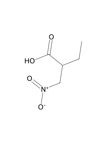 CCC(C[N+](=O)[O-])C(=O)O